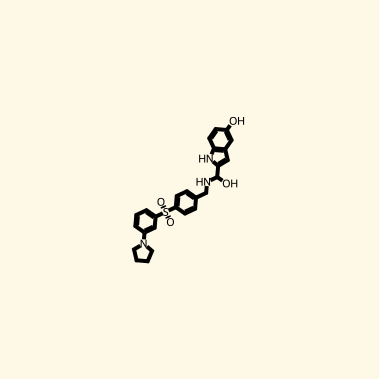 O=S(=O)(c1ccc(CNC(O)c2cc3cc(O)ccc3[nH]2)cc1)c1cccc(N2CCCC2)c1